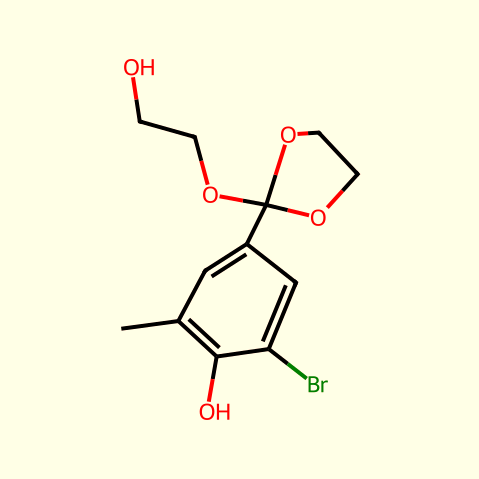 Cc1cc(C2(OCCO)OCCO2)cc(Br)c1O